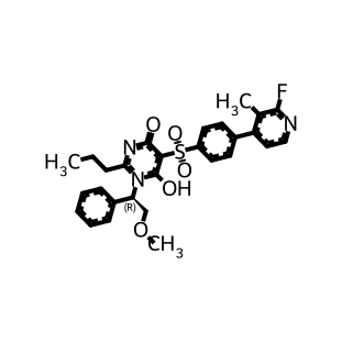 CCCc1nc(=O)c(S(=O)(=O)c2ccc(-c3ccnc(F)c3C)cc2)c(O)n1[C@@H](COC)c1ccccc1